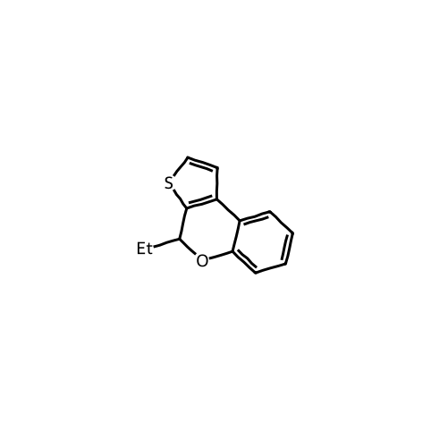 CCC1Oc2ccccc2-c2ccsc21